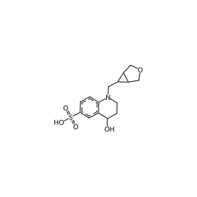 O=S(=O)(O)c1ccc2c(c1)C(O)CCN2CC1C2COCC21